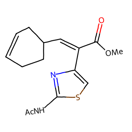 COC(=O)C(=CC1CC=CCC1)c1csc(NC(C)=O)n1